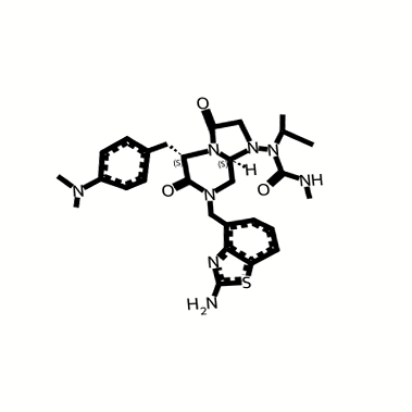 CNC(=O)N(C(C)C)N1CC(=O)N2[C@@H](Cc3ccc(N(C)C)cc3)C(=O)N(Cc3cccc4sc(N)nc34)C[C@@H]21